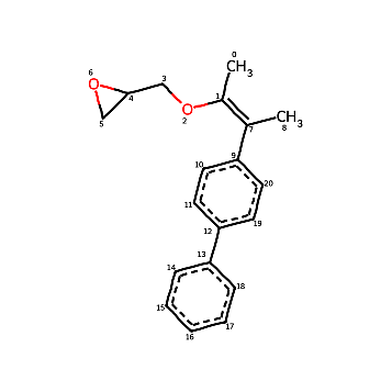 C/C(OCC1CO1)=C(\C)c1ccc(-c2ccccc2)cc1